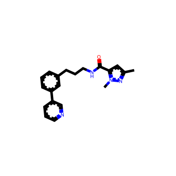 Cc1cc(C(=O)NCCCc2cccc(-c3cccnc3)c2)n(C)n1